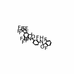 O=C(Nc1c(I)cc(C(F)(C(F)(F)F)C(F)(F)F)cc1C(F)(F)F)c1cccc(NC(=O)c2c(F)cccc2F)c1F